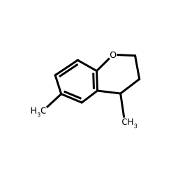 Cc1ccc2c(c1)C(C)CCO2